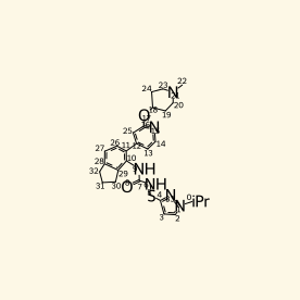 CC(C)n1ccc(SNC(=O)Nc2c(-c3ccnc(OC4CCN(C)CC4)c3)ccc3c2CCC3)n1